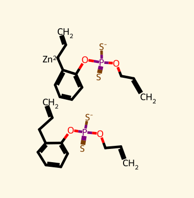 C=CCOP(=S)([S-])Oc1ccccc1CC=C.C=CCOP(=S)([S-])Oc1ccccc1CC=C.[Zn+2]